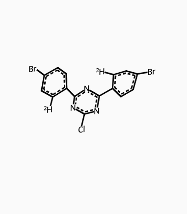 [2H]c1cc(Br)ccc1-c1nc(Cl)nc(-c2ccc(Br)cc2[2H])n1